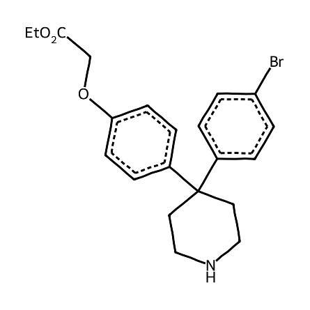 CCOC(=O)COc1ccc(C2(c3ccc(Br)cc3)CCNCC2)cc1